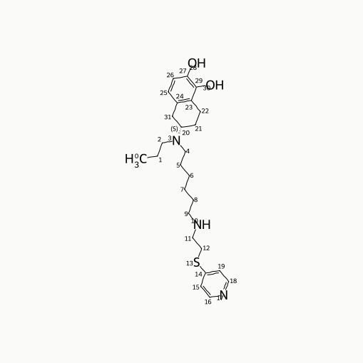 CCCN(CCCCCCNCCSc1ccncc1)[C@H]1CCc2c(ccc(O)c2O)C1